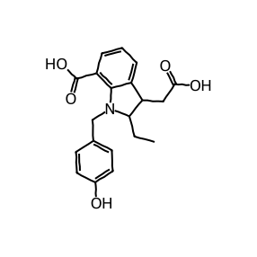 CCC1C(CC(=O)O)c2cccc(C(=O)O)c2N1Cc1ccc(O)cc1